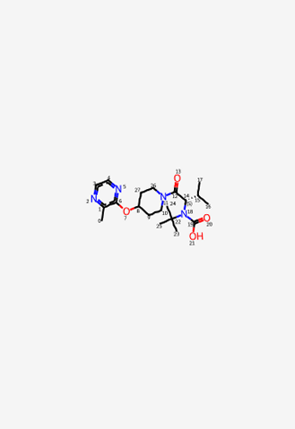 Cc1nccnc1OC1CCN(C(=O)[C@H](C(C)C)N(C(=O)O)C(C)(C)C)CC1